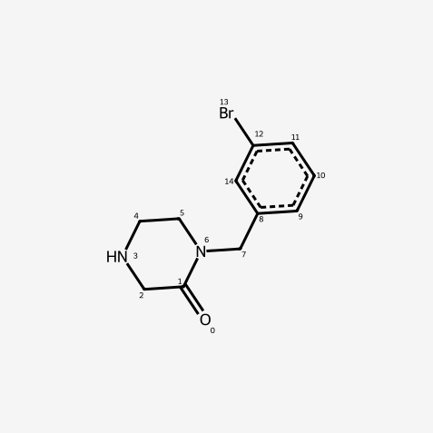 O=C1CNCCN1Cc1cccc(Br)c1